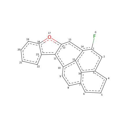 Fc1cc2cccc3ccc4c5c(cc1c4c32)oc1ccccc15